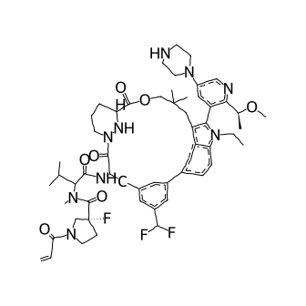 C=CC(=O)N1CC[C@](F)(C(=O)N(C)C(C(=O)N[C@H]2Cc3cc(cc(C(F)F)c3)-c3ccc4c(c3)c(c(-c3cc(N5CCNCC5)cnc3[C@H](C)OC)n4CC)CC(C)(C)COC(=O)[C@@H]3CCCN(N3)C2=O)C(C)C)C1